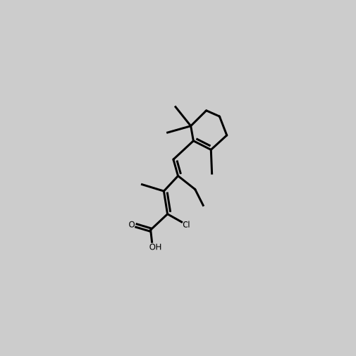 CCC(=CC1=C(C)CCCC1(C)C)C(C)=C(Cl)C(=O)O